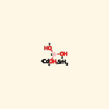 OB(O)O.[Cd].[SrH2]